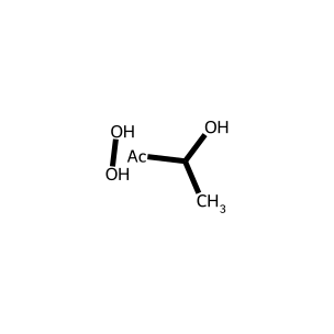 CC(=O)C(C)O.OO